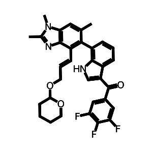 Cc1cc2c(nc(C)n2C)c(/C=C/COC2CCCCO2)c1-c1cccc2c(C(=O)c3cc(F)c(F)c(F)c3)c[nH]c12